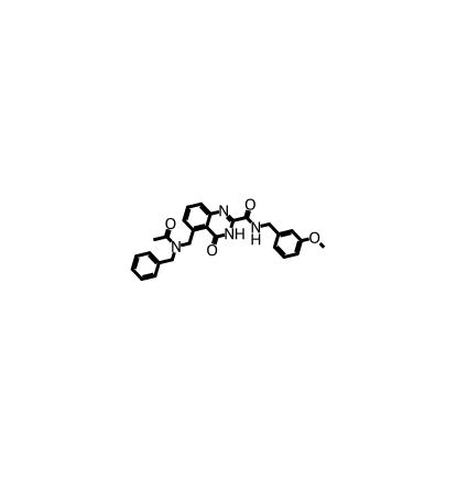 COc1cccc(CNC(=O)c2nc3cccc(CN(Cc4ccccc4)C(C)=O)c3c(=O)[nH]2)c1